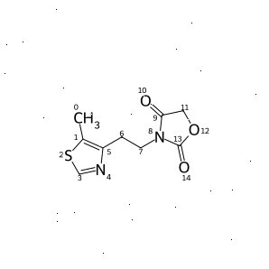 Cc1scnc1CCN1C(=O)COC1=O